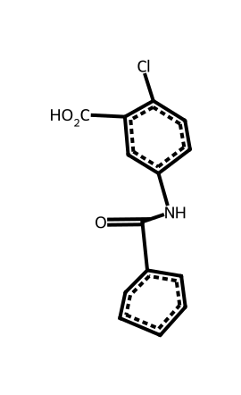 O=C(Nc1ccc(Cl)c(C(=O)O)c1)c1ccccc1